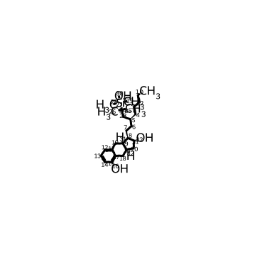 CCCCC[C@@H](CC[C@@H]1[C@H]2Cc3cccc(O)c3C[C@H]2C[C@H]1O)CC(C)(C)[Si](C)(C)O